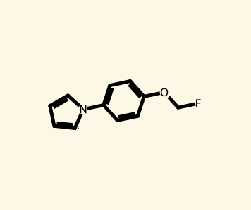 FCOc1ccc(-n2[c]ccc2)cc1